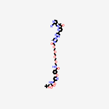 C[C@@H]1CN(c2ncc(-c3ccc4c(n3)N(Cc3cccnc3C#N)C(C)(C)C4=O)cn2)CCN1C(=O)COCCOCCOCCOCCNC(=O)c1cccc(Oc2ccc(C(=O)N[C@@H](CCC(C)(C)C)C(=O)O)cn2)c1